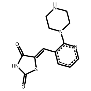 O=C1NC(=O)/C(=C/c2cccnc2N2CCNCC2)S1